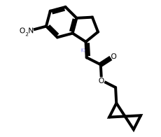 O=C(/C=C1\CCc2ccc([N+](=O)[O-])cc21)OCC1CC12CC2